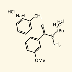 COc1cccc(C(=O)N(N)C(C)(C)C)c1.Cc1ccccc1.Cl.Cl.O.[NaH]